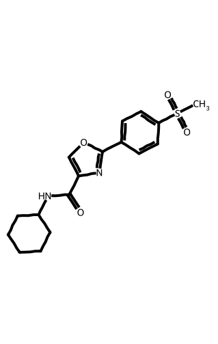 CS(=O)(=O)c1ccc(-c2nc(C(=O)NC3CCCCC3)co2)cc1